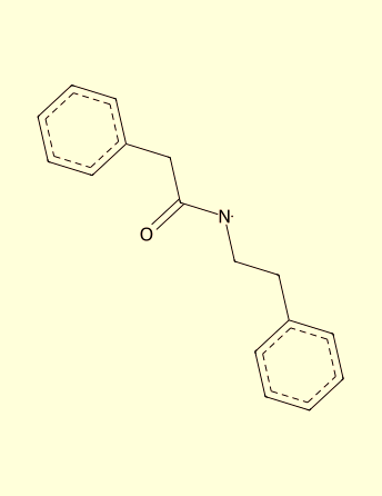 O=C(Cc1ccccc1)[N]CCc1ccccc1